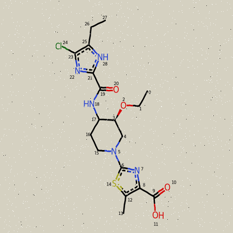 CCO[C@H]1CN(c2nc(C(=O)O)c(C)s2)CCC1NC(=O)c1nc(Cl)c(CC)[nH]1